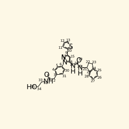 O=C(Cc1ccc(-n2nc(-c3cccs3)cc2NC(=O)NC2CCc3ccccc32)cc1)NCCO